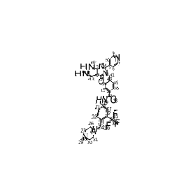 CNc1nc(-c2ccncc2)nc(Oc2cc(C(=O)Nc3ccc(CN4CCN(C)CC4)c(C(F)(F)F)c3)ccc2C)c1C=N